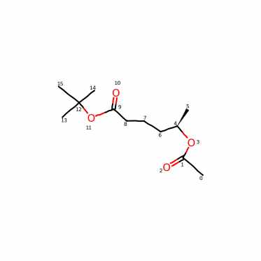 CC(=O)O[C@H](C)CCCC(=O)OC(C)(C)C